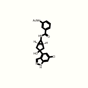 CC(=O)Nc1cccc(C(=O)NC2[C@H]3CC(O)(c4cc(Cl)cc5[nH]ncc45)C[C@@H]23)c1